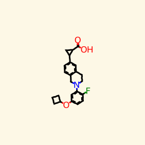 O=C(O)C1CC1c1ccc2c(c1)CCN(c1cc(OC3CCC3)ccc1F)C2